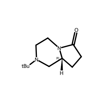 CC(C)(C)N1CCN2C(=O)CC[C@@H]2C1